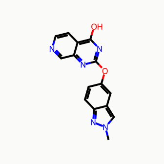 Cn1cc2cc(Oc3nc(O)c4ccncc4n3)ccc2n1